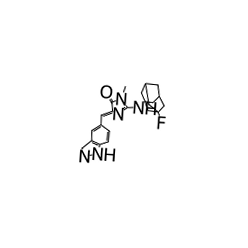 CN1C(=O)/C(=C/c2ccc3[nH]ncc3c2)N=C1NC12CC3CC(CC(F)(C3)C1)C2